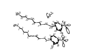 CC(C)CCCCCCCCCc1ccc(S(=O)(=O)[O-])cc1.CC(C)CCCCCCCCCc1ccc(S(=O)(=O)[O-])cc1.[Ca+2]